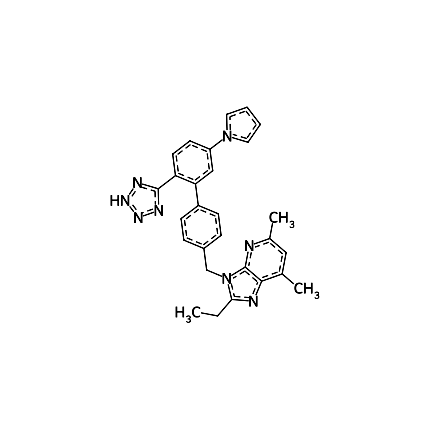 CCc1nc2c(C)cc(C)nc2n1Cc1ccc(-c2cc(-n3cccc3)ccc2-c2nn[nH]n2)cc1